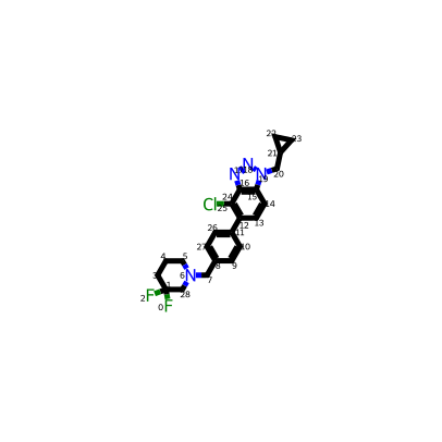 FC1(F)CCCN(Cc2ccc(-c3ccc4c(nnn4CC4CC4)c3Cl)cc2)C1